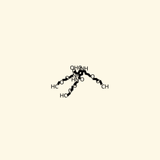 C#CCOCCOCCCCC(CCC(=O)NCCOCCOCC#C)(CCC(=O)NCCOCCOCC#C)NC=O